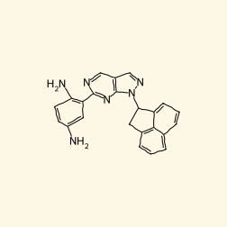 Nc1ccc(N)c(-c2ncc3cnn(C4Cc5cccc6cccc4c56)c3n2)c1